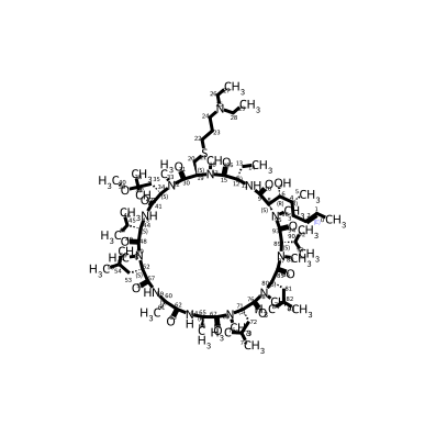 C/C=C/C[C@@H](C)[C@@H](O)[C@H]1C(=O)N[C@@H](CC)C(=O)N(C)[C@H](CSCCCN(CC)CC)C(=O)N(C)[C@@H](CC(C)(C)OC)C(=O)N[C@@H](C(C)C)C(=O)N(C)[C@@H](CC(C)C)C(=O)N[C@@H](C)C(=O)N[C@H](C)C(=O)N(C)[C@@H](CC(C)C)C(=O)N(C)[C@@H](CC(C)C)C(=O)N(C)[C@@H](C(C)C)C(=O)N1C